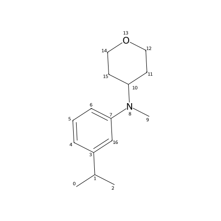 CC(C)c1cccc(N(C)C2CCOCC2)c1